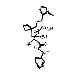 CCCCC(CC1(CCSc2nccn2C)CCC1)(NC(=O)O)C(O)C(=O)N[C@H](C)c1ccccc1